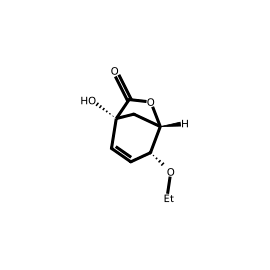 CCO[C@@H]1C=C[C@]2(O)C[C@@H]1OC2=O